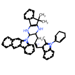 Cc1c(/C=C\CC2NC3=C(NC2n2c4ccccc4c4cc5ccccc5cc42)c2ccccc2C3(C)C)c2ccccc2n1C1=CCCC=C1